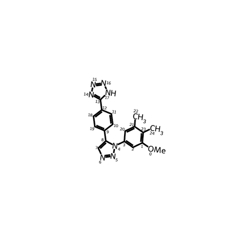 COc1cc(-n2nncc2-c2ccc(-c3nnn[nH]3)cc2)cc(C)c1C